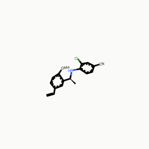 C=Cc1ccc(OC)c([C@H](C)Nc2ccc(C#N)cc2Cl)c1